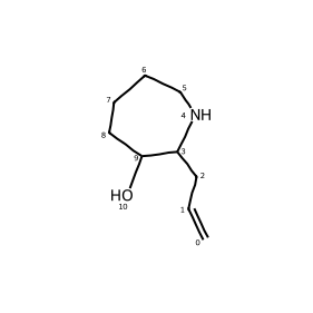 C=CCC1NCCCCC1O